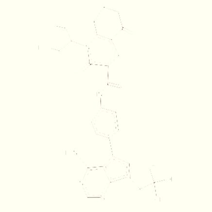 CCC(CC)n1c2c(cc(C(=O)Nc3ccc(-c4cn(CC(C)(C)O)c5ncnc(N)c45)cc3)c1=O)C(=O)CCC2